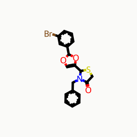 O=C1CSC(C2=COC(c3cccc(Br)c3)O2)N1Cc1ccccc1